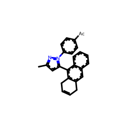 CC(=O)c1ccc(-n2nc(C)cc2-c2c3c(cc4ccccc24)CC=CC3)cc1